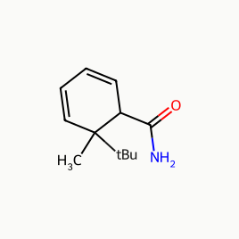 CC(C)(C)C1(C)C=CC=CC1C(N)=O